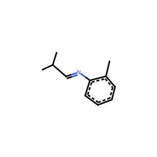 Cc1ccccc1N=[C]C(C)C